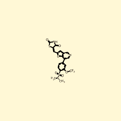 CN(C)S(=O)(=O)c1ccc(-c2cncc3cc(C=C4SC(=O)NC4=O)oc23)cc1OC(F)(F)F